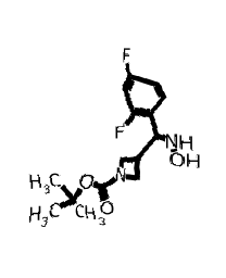 CC(C)(C)OC(=O)N1CC(C(NO)c2ccc(F)cc2F)C1